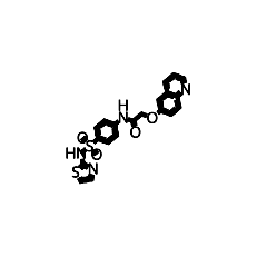 O=C(COc1ccc2ncccc2c1)Nc1ccc(S(=O)(=O)Nc2nccs2)cc1